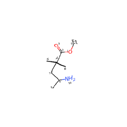 CCOC(=O)C(C)(C)CC(C)N